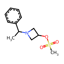 CC(c1ccccc1)N1CC(OS(C)(=O)=O)C1